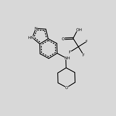 O=C(O)C(F)(F)F.c1cc2[nH]ncc2cc1NC1CCOCC1